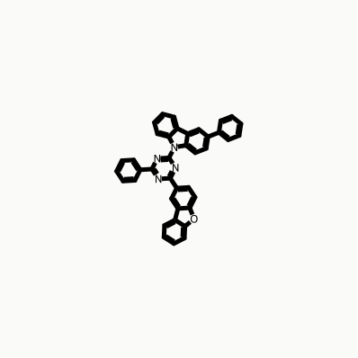 c1ccc(-c2ccc3c(c2)c2ccccc2n3-c2nc(-c3ccccc3)nc(-c3ccc4oc5ccccc5c4c3)n2)cc1